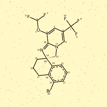 FC(F)OC1=CC(C(F)(F)F)=CN2C[C@]3(CCCc4c(Br)cccc43)N=C12